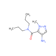 CCCN(CCC)C(=O)c1c(N)cnn1C